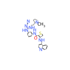 CN1CCCC1CCN/C(=N\C#N)Nc1cccc(NC(=O)c2sccc2NCc2ccnc3ccccc23)c1